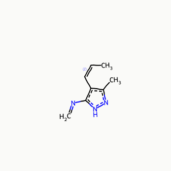 C=Nc1[nH]nc(C)c1/C=C\C